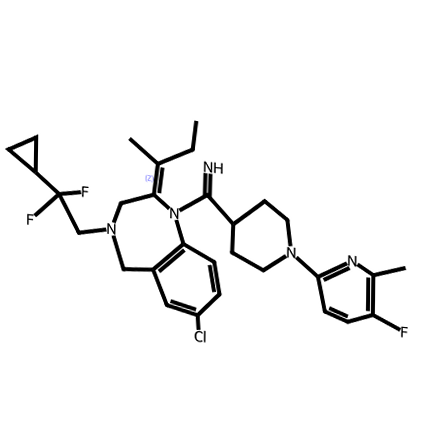 CC/C(C)=C1/CN(CC(F)(F)C2CC2)Cc2cc(Cl)ccc2N1C(=N)C1CCN(c2ccc(F)c(C)n2)CC1